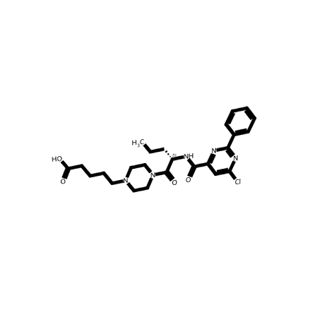 CCC[C@H](NC(=O)c1cc(Cl)nc(-c2ccccc2)n1)C(=O)N1CCN(CCCCC(=O)O)CC1